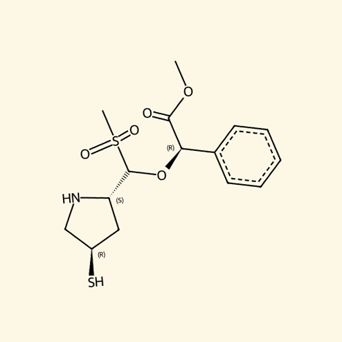 COC(=O)[C@H](OC([C@@H]1C[C@@H](S)CN1)S(C)(=O)=O)c1ccccc1